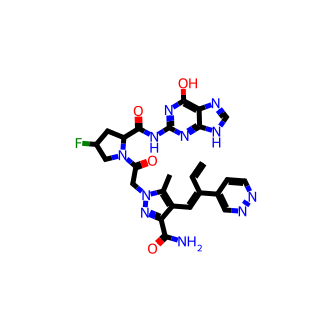 C=C/C(=C\c1c(C(N)=O)nn(CC(=O)N2CC(F)CC2C(=O)Nc2nc(O)c3nc[nH]c3n2)c1C)c1ccnnc1